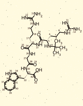 CC(C)(C)N[C@@H](CCCNC(=N)N)C(=O)N[C@@H](CCCNC(=N)N)C(=O)NCC(=O)N[C@@H](Cc1c[nH]c2ccccc12)C(=O)O